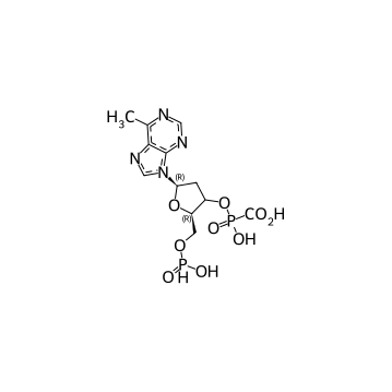 Cc1ncnc2c1ncn2[C@H]1CC(OP(=O)(O)C(=O)O)[C@@H](CO[PH](=O)O)O1